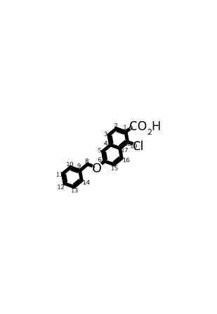 O=C(O)c1ccc2cc(OCc3ccccc3)ccc2c1Cl